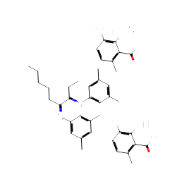 CCCCCC(=Nc1cc(C)cc(C)c1)C(CC)=Nc1cc(C)cc(C)c1.Cc1ccc(O)c(O)c1C(=O)[O-].Cc1ccc(O)c(O)c1C(=O)[O-].[Ni+2]